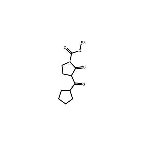 CC(C)(C)OC(=O)N1CCC(C(=O)C2CCCC2)C1=O